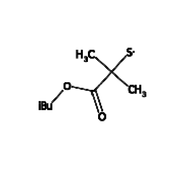 CCC(C)OC(=O)C(C)(C)[S]